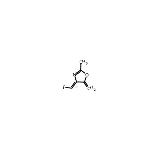 C=c1oc(C)n/c1=C\F